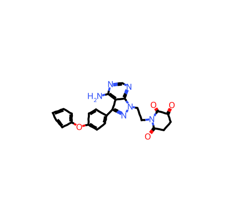 Nc1ncnc2c1c(-c1ccc(Oc3ccccc3)cc1)nn2CCN1C(=O)CCC(=O)C1=O